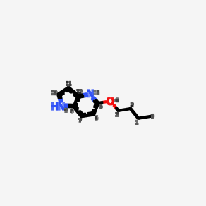 CCCCOc1ccc2[nH]ccc2n1